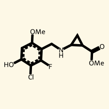 COC(=O)C1CC1NCc1c(OC)cc(O)c(Cl)c1F